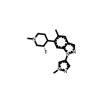 Cc1cc2cnn(-c3cnn(C)c3)c2cc1C1CCN(C)C[C@H]1F